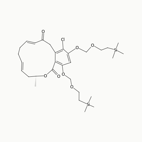 C[C@@H]1C/C=C/CC/C=C/C(=O)Cc2c(Cl)c(OCOCC[Si](C)(C)C)cc(OCOCC[Si](C)(C)C)c2C(=O)O1